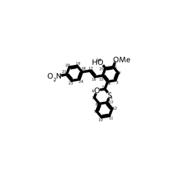 COc1ccc(C2OCc3ccccc3S2)c(C=Cc2ccc([N+](=O)[O-])cc2)c1O